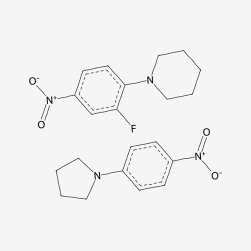 O=[N+]([O-])c1ccc(N2CCCC2)cc1.O=[N+]([O-])c1ccc(N2CCCCC2)c(F)c1